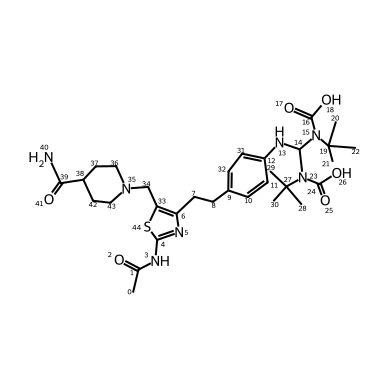 CC(=O)Nc1nc(CCc2ccc(NC(N(C(=O)O)C(C)(C)C)N(C(=O)O)C(C)(C)C)cc2)c(CN2CCC(C(N)=O)CC2)s1